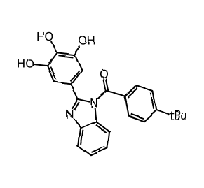 CC(C)(C)c1ccc(C(=O)n2c(-c3cc(O)c(O)c(O)c3)nc3ccccc32)cc1